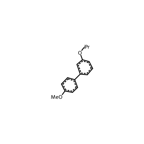 COc1ccc(-c2cccc(OC(C)C)c2)cc1